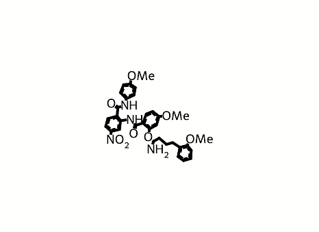 COc1ccc(NC(=O)c2ccc([N+](=O)[O-])cc2NC(=O)c2ccc(OC)cc2OC(N)CCCc2ccccc2OC)cc1